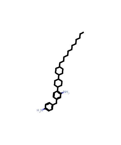 CCCCCCCCCCCCC1CCC(C2CCC(c3ccc(Cc4ccc(N)cc4)cc3N)CC2)CC1